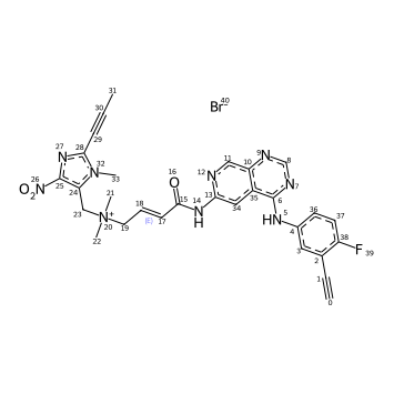 C#Cc1cc(Nc2ncnc3cnc(NC(=O)/C=C/C[N+](C)(C)Cc4c([N+](=O)[O-])nc(C#CC)n4C)cc23)ccc1F.[Br-]